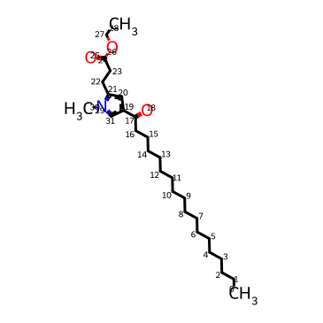 CCCCCCCCCCCCCCCCCC(=O)c1cc(CCC(=O)OCC)n(C)c1